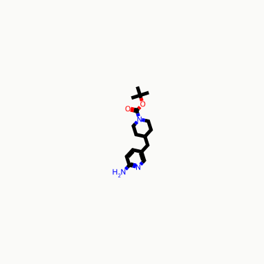 CC(C)(C)OC(=O)N1CCC(Cc2ccc(N)nc2)CC1